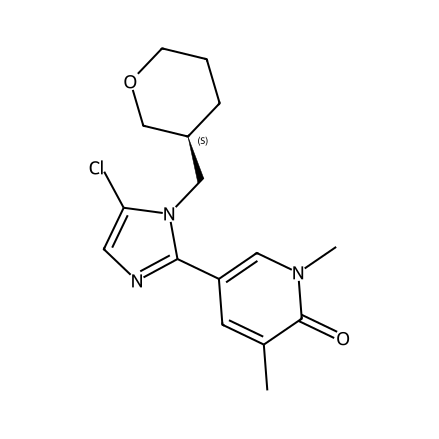 Cc1cc(-c2ncc(Cl)n2C[C@@H]2CCCOC2)cn(C)c1=O